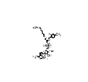 CCCCCCCCCCCCCCCCOC[C@H](COP(=O)(O)OC[C@H]1O[C@@](C)(c2ccc3c(N)ncnn23)[C@H](O)[C@@H]1O)OCc1ccc(C)cc1F